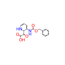 O=C(NC1=CC=CNC1C(=O)C(=O)O)OCc1ccccc1